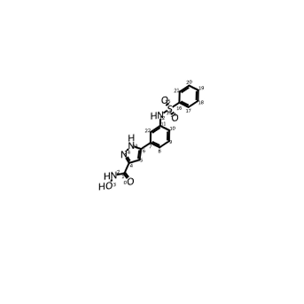 O=C(NO)c1cc(-c2cccc(NS(=O)(=O)c3ccccc3)c2)[nH]n1